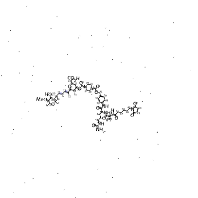 CO[C@H](C(C)OC(C)(C)C[C@H](C)/C=C/C=C(\C)[C@H]1O[C@@H](CC(=O)O)C[C@@H](OC(=O)N2CCN(C(=O)OCc3ccc(NC(=O)[C@H](CCCNC(N)=O)NC(=O)[C@@H](NC(=O)CCCCCN4C(=O)C=CC4=O)C(C)C)cc3)CC2)[C@@H]1C)[C@@H](C)O